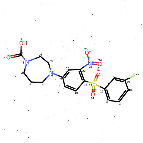 O=C(O)N1CCCN(c2ccc(S(=O)(=O)c3cccc(F)c3)c([N+](=O)[O-])c2)CC1